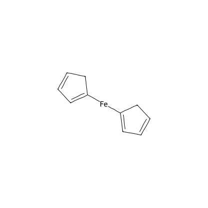 C1=CC[C]([Fe][C]2=CC=CC2)=C1